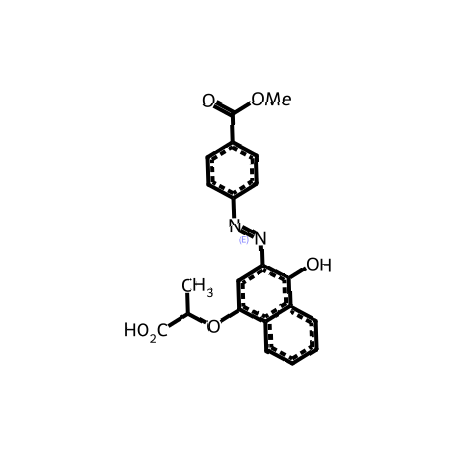 COC(=O)c1ccc(/N=N/c2cc(OC(C)C(=O)O)c3ccccc3c2O)cc1